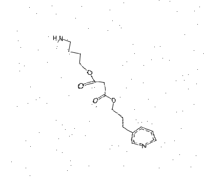 NCCCCOC(=O)CC(=O)OCCCc1cccnc1